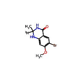 [2H]C1(C)NC(=O)c2cc(Br)c(OC)cc2N1